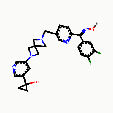 CCON=C(c1ccc(F)c(F)c1)c1ccc(CN2CC3(C2)CN(c2cncc(C4(O)CC4)c2)C3)cn1